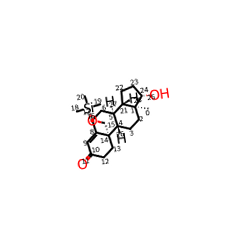 C[C@]12CC[C@H]3[C@@H](CCC4=CC(=O)CC[C@@]43CO[Si](C)(C)C)[C@@H]1CC[C@@H]2O